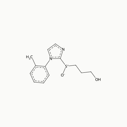 Cc1ccccc1-n1ccnc1[S+]([O-])CCCO